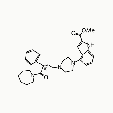 COC(=O)c1cc2c(N3CCN(CC[C@H](C(=O)N4CCCCCC4)c4ccccc4)CC3)cccc2[nH]1